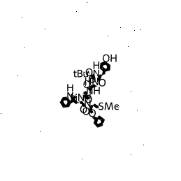 CSCC[C@H](NC(=O)[C@H](Cc1c[nH]c2ccccc12)NC(=O)CNC(=O)CNC(=O)[C@H](Cc1ccc(O)cc1)NC(=O)OC(C)(C)C)C(=O)OCc1ccccc1